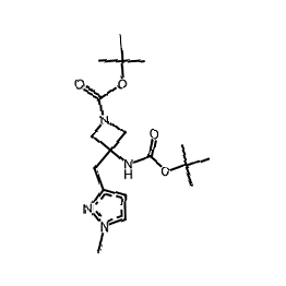 Cn1ccc(CC2(NC(=O)OC(C)(C)C)CN(C(=O)OC(C)(C)C)C2)n1